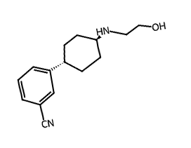 N#Cc1cccc([C@H]2CC[C@H](NCCO)CC2)c1